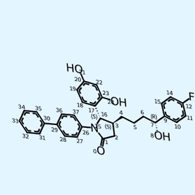 O=C1C[C@H](CCC[C@@H](O)c2ccc(F)cc2)[C@@H](c2ccc(O)cc2O)N1c1ccc(-c2ccccc2)cc1